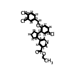 CCOC(=O)c1cncc(C2=C(c3cc(Cl)ccc3OCc3ccc(Cl)c(Cl)c3)CCC2)c1